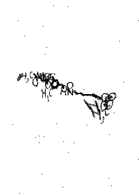 CCC(=O)NCC(=O)Oc1c(C)cc(COC(=O)NCCCCCCOP(=O)(O)OC)cc1C